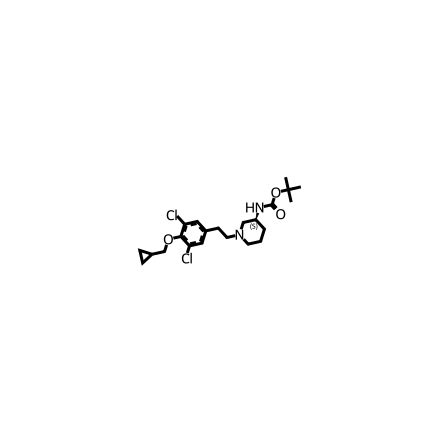 CC(C)(C)OC(=O)N[C@H]1CCCN(CCc2cc(Cl)c(OCC3CC3)c(Cl)c2)C1